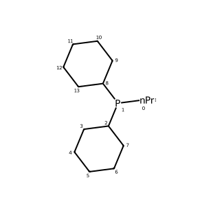 CC[C]P(C1CCCCC1)C1CCCCC1